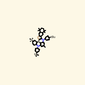 Cc1cc2c3c(c1)N(c1ccc(C(C)(C)C)cc1)c1c(sc4cc5c(cc14)C(C)(C)CCC5(C)C)B3c1cc([Si](C)(C)C)ccc1N2c1ccc([Si](C)(C)C)cc1